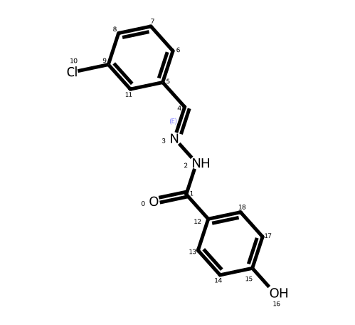 O=C(N/N=C/c1cccc(Cl)c1)c1ccc(O)cc1